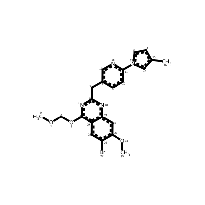 COCOc1nc(Cc2ccc(-n3ccc(C)c3)nc2)nc2cc(OC)c(Br)cc12